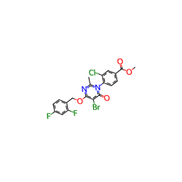 COC(=O)c1ccc(-n2c(C)nc(OCc3ccc(F)cc3F)c(Br)c2=O)c(Cl)c1